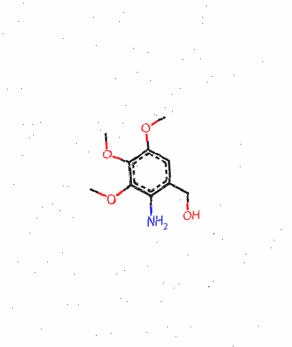 COc1cc(CO)c(N)c(OC)c1OC